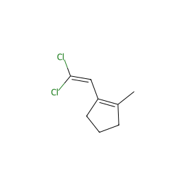 CC1=C(C=C(Cl)Cl)CCC1